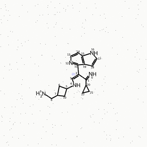 N=C(/C(=C\NC1CC(CN)C1)c1nccc2[nH]ccc12)C1CC1